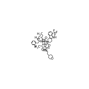 CCC(C)[C@H](NC(=O)Cc1ccccc1F)C(=O)N[C@]1(C(=O)N[C@H](C(=S)NCCC2CCOCC2)C(C)CC)CCc2[nH]c3c(C(F)(F)F)cccc3c2C1